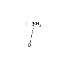 CC(C)CCCCCCCCCCCCCCCCCCCCCCCCC[O]